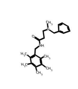 Cc1c(C)c(C)c(CNC(=O)CCN(C)Cc2ccccc2)c(C)c1C